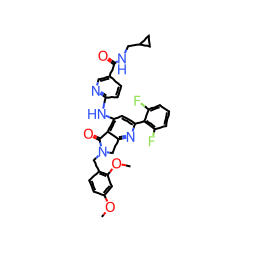 COc1ccc(CN2Cc3nc(-c4c(F)cccc4F)cc(Nc4ccc(C(=O)NCC5CC5)cn4)c3C2=O)c(OC)c1